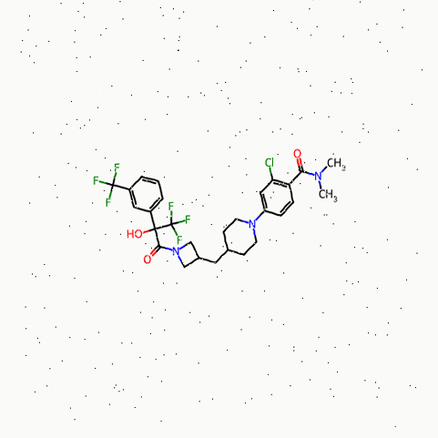 CN(C)C(=O)c1ccc(N2CCC(CC3CN(C(=O)C(O)(c4cccc(C(F)(F)F)c4)C(F)(F)F)C3)CC2)cc1Cl